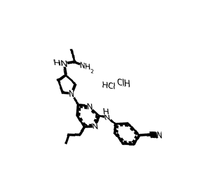 CCCc1cc(N2CCC(NC(C)N)C2)nc(Nc2cccc(C#N)c2)n1.Cl.Cl